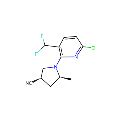 C[C@H]1C[C@@H](C#N)CN1c1nc(Cl)ccc1C(F)F